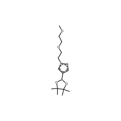 COCCOCCn1cc(B2OC(C)(C)C(C)(C)O2)cn1